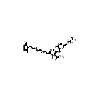 CC(C)[C@H](NC(=O)CCOCCOCCN1C(=O)C=CC1=O)C(=O)N[C@@H](CCCNC(N)=O)C(N)=O